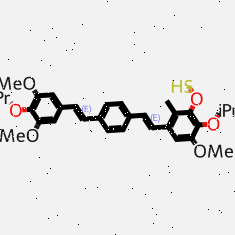 COc1cc(/C=C/c2ccc(/C=C/c3cc(OC)c(OC(C)C)c(OS)c3C)cc2)cc(OC)c1OC(C)C